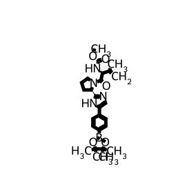 C=C(C)[C@H](NC(=O)OC)C(=O)N1CCC[C@H]1c1ncc(-c2ccc(B3OC(C)(C)C(C)(C)O3)cc2)[nH]1